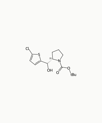 CC(C)(C)OC(=O)N1CCC[C@H]1C(O)c1ccc(Cl)s1